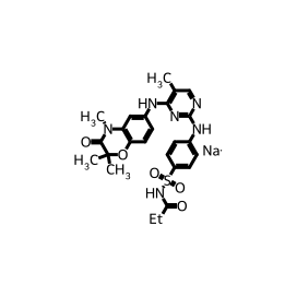 CCC(=O)NS(=O)(=O)c1ccc(Nc2ncc(C)c(Nc3ccc4c(c3)N(C)C(=O)C(C)(C)O4)n2)cc1.[Na]